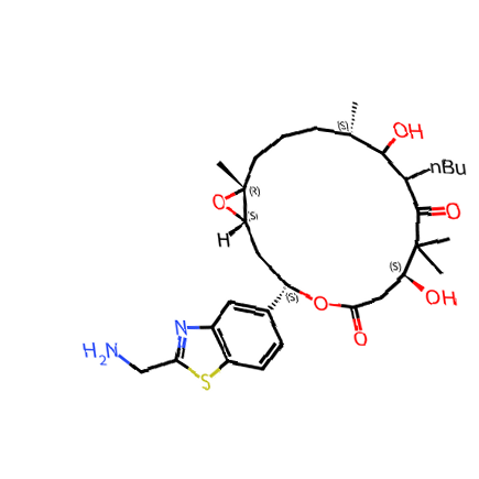 CCCCC1C(=O)C(C)(C)[C@@H](O)CC(=O)O[C@H](c2ccc3sc(CN)nc3c2)C[C@@H]2O[C@]2(C)CCC[C@H](C)C1O